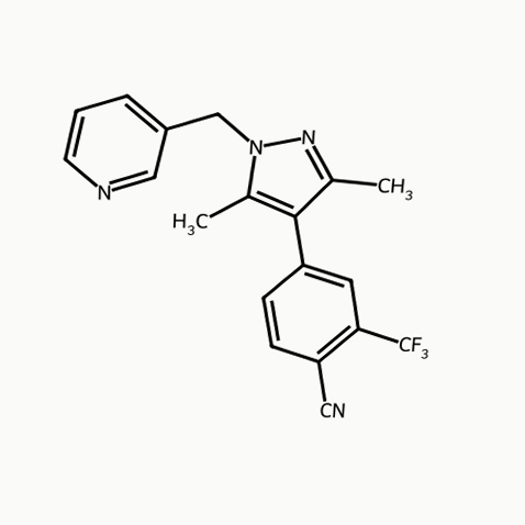 Cc1nn(Cc2cccnc2)c(C)c1-c1ccc(C#N)c(C(F)(F)F)c1